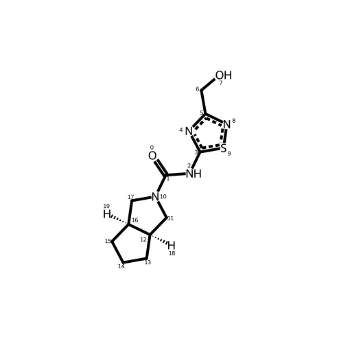 O=C(Nc1nc(CO)ns1)N1C[C@H]2CCC[C@H]2C1